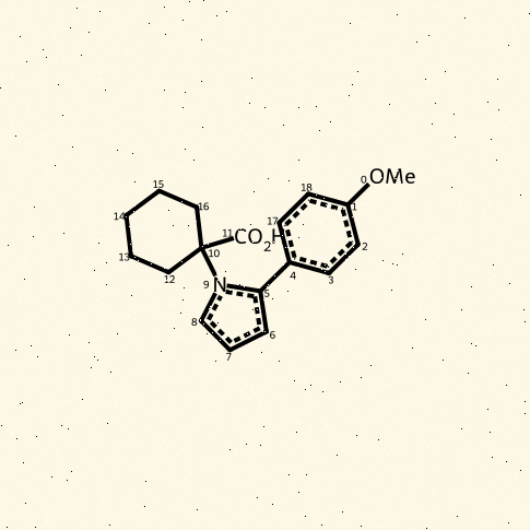 COc1ccc(-c2cccn2C2(C(=O)O)CCCCC2)cc1